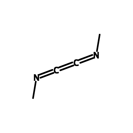 CN=C=C=NC